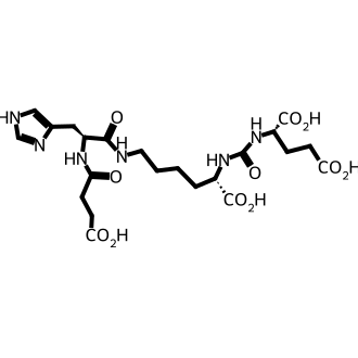 O=C(O)CCC(=O)N[C@@H](Cc1c[nH]cn1)C(=O)NCCCC[C@H](NC(=O)N[C@@H](CCC(=O)O)C(=O)O)C(=O)O